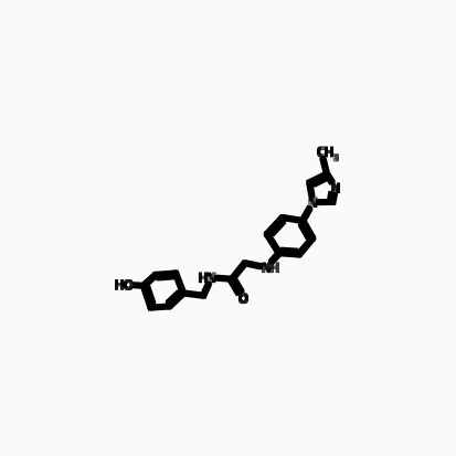 Cc1cn(-c2ccc(NCC(=O)NCc3ccc(O)cc3)cc2)cn1